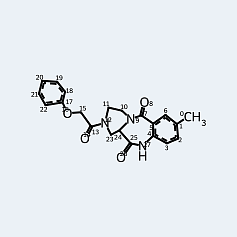 Cc1ccc2c(c1)C(=O)N1CCN(C(=O)COc3ccccc3)CC1C(=O)N2